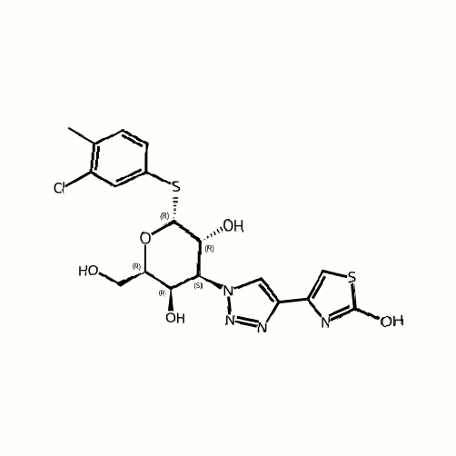 Cc1ccc(S[C@H]2O[C@H](CO)[C@H](O)[C@H](n3cc(-c4csc(O)n4)nn3)[C@H]2O)cc1Cl